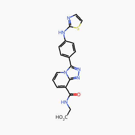 O=C(O)CNC(=O)c1cccn2c(-c3ccc(Nc4nccs4)cc3)nnc12